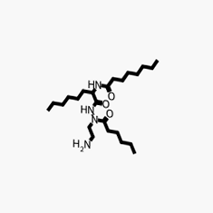 CCCCCCCC(=O)NC(CCCCCC)C(=O)NN(CCN)C(=O)CCCCC